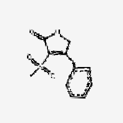 CS(=O)(=O)C1=C(c2ccccc2)COC1=O